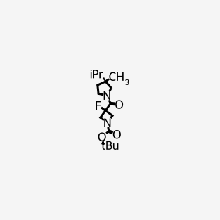 CC(C)[C@]1(C)CCN(C(=O)C2(F)CN(C(=O)OC(C)(C)C)C2)C1